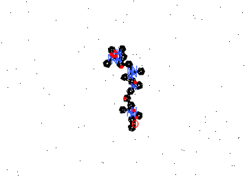 c1ccc(-c2nc(-c3cccc(-c4cccc5c4c4ccc6c7ccccc7n(-c7ccccc7)c6c4n5-c4nc(-c5ccccc5)nc(-c5ccccc5)n4)c3)nc(-n3c4ccccc4c4cc5c(cc43)c3ccccc3n5-c3ccc(-c4cccc(-c5ccc6nc(-n7c8ccccc8c8c9oc%10ccccc%10c9ccc87)nc(-c7ccccc7)c6c5)c4)cc3)n2)cc1